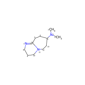 CN(C)C1CCC2=NCCCN2CC1